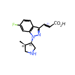 C[C@@H]1CNC[C@@H]1n1nc(/C=C/C(=O)O)c2ccc(F)cc21